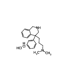 CN(C)CCCC1(c2ccccc2)CNCc2ccccc21.Cl.Cl